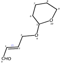 O=C/C=C/COC1CCCCO1